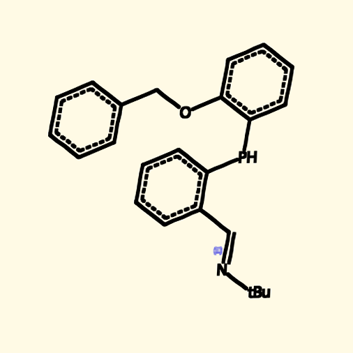 CC(C)(C)/N=C/c1ccccc1Pc1ccccc1OCc1ccccc1